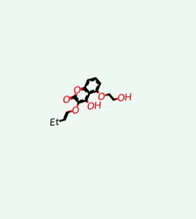 CCC=COc1c(O)c2c(OCCO)cccc2oc1=O